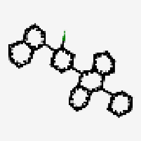 Fc1cc(-c2c3ccccc3c(-c3ccccc3)c3ccccc23)ccc1-c1cccc2ccccc12